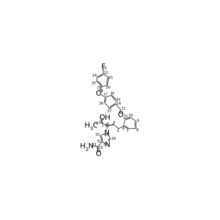 C[C@H](O)[C@@H](CCc1ccccc1OCc1ccc(Oc2ccc(F)cc2)cc1)n1cnc(C(N)=O)c1